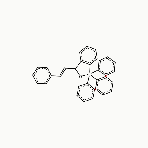 C(=C\C1OP(c2ccccc2)(c2ccccc2)(c2ccccc2)c2ccccc21)/c1ccccc1